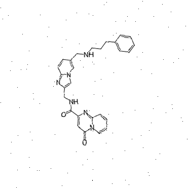 O=C(NCc1cn2cc(CNCCCc3ccccc3)ccc2n1)c1cc(=O)n2ccccc2n1